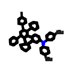 Cc1ccc(-c2cc(-c3ccccc3)c3c4ccccc4c4cc(N(c5ccc(C(C)(C)C)cc5)c5ccc(C(C)(C)C)cc5)ccc4c3c2-c2ccccc2)cc1